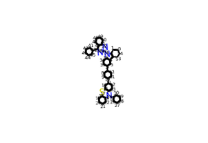 C1=Cc2c(c3cc(-c4ccc(-c5ccc6c(c5)Sc5ccccc5N6c5ccccc5)cc4)ccc3n2-c2nc(-c3ccccc3)c3ccccc3n2)CC1